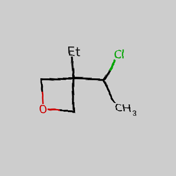 CCC1(C(C)Cl)COC1